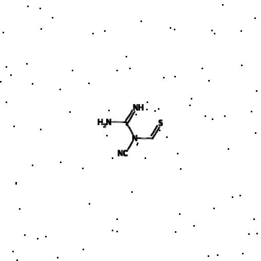 N#CN(C=S)C(=N)N